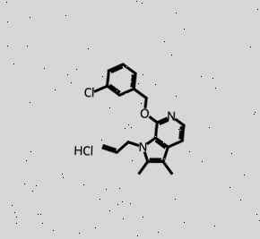 C=CCn1c(C)c(C)c2ccnc(OCc3cccc(Cl)c3)c21.Cl